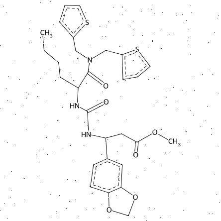 CCCCC(NC(=O)NC(CC(=O)OC)c1ccc2c(c1)OCO2)C(=O)N(Cc1cccs1)Cc1cccs1